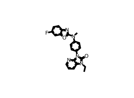 CCn1c(=O)n(-c2ccc(N(C)c3nc4ccc(F)cc4o3)cc2)c2ncccc21